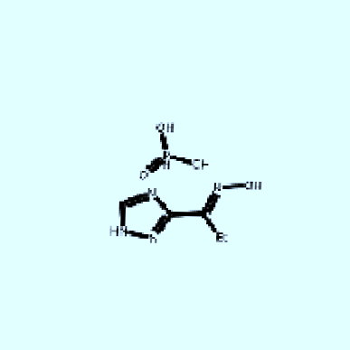 CCC(=NO)c1nc[nH]n1.O=[PH](O)O